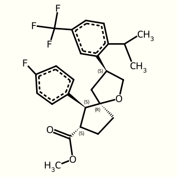 COC(=O)[C@H]1CC[C@@]2(C[C@@H](c3cc(C(F)(F)F)ccc3C(C)C)CO2)[C@@H]1c1ccc(F)cc1